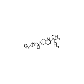 CC(C)c1ccc2c(n1)CCN(C(=O)CN1CC(N=O)C1)C2